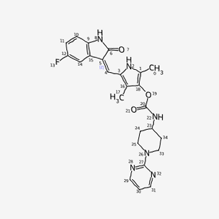 Cc1[nH]c(/C=C2\C(=O)Nc3ccc(F)cc32)c(C)c1OC(=O)NC1CCN(c2ncccn2)CC1